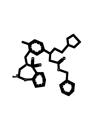 Cc1ccc(C(CCC2CCCC2)CC(=O)OCc2ccccc2)cc1CN1C[C@@H](C)Oc2ccccc2S1(=O)=O